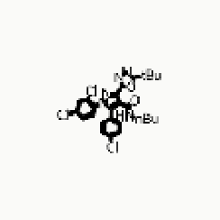 CCCCNC(=O)c1c(-c2nnc(C(C)(C)C)o2)nn(-c2ccc(Cl)cc2Cl)c1-c1ccc(Cl)cc1